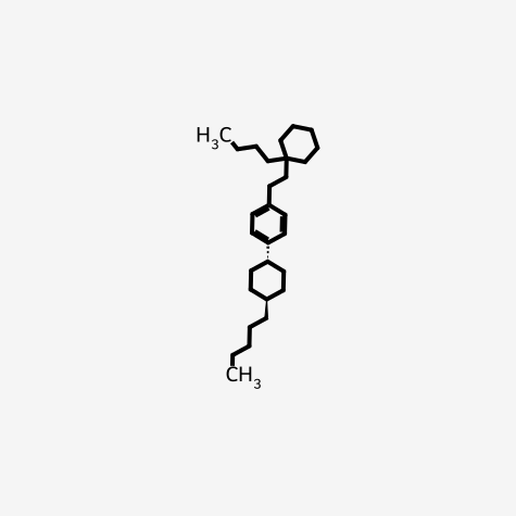 CCCCC[C@H]1CC[C@H](c2ccc(CCC3(CCCC)CCCCC3)cc2)CC1